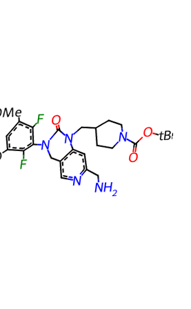 COc1cc(OC)c(F)c(N2Cc3cnc(CN)cc3N(CC3CCN(C(=O)OC(C)(C)C)CC3)C2=O)c1F